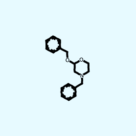 c1ccc(COC2CN(Cc3ccccc3)CCO2)cc1